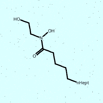 CCCCCCCCCCCC(=O)N(O)CCO